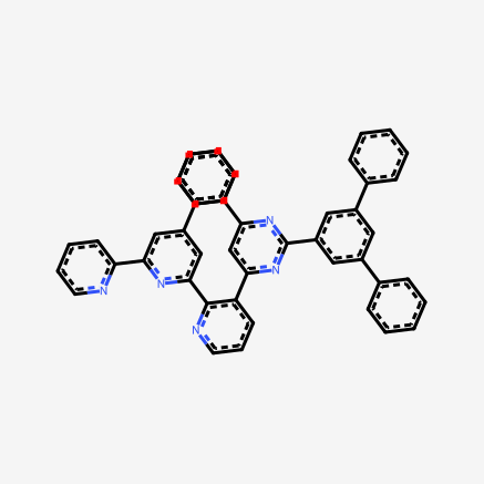 c1ccc(-c2cc(-c3ccccc3)cc(-c3nc(-c4ccccc4)cc(-c4cccnc4-c4cc(-c5ccccc5)cc(-c5ccccn5)n4)n3)c2)cc1